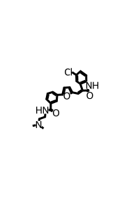 CN(C)CCNC(=O)c1cccc(-c2ccc(/C=C3/C(=O)Nc4ccc(Cl)cc43)o2)c1